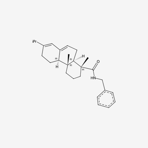 CC(C)C1=CC2=CC[C@@H]3[C@](C)(CCC[C@@]3(C)C(=O)NCc3ccccc3)[C@H]2CC1